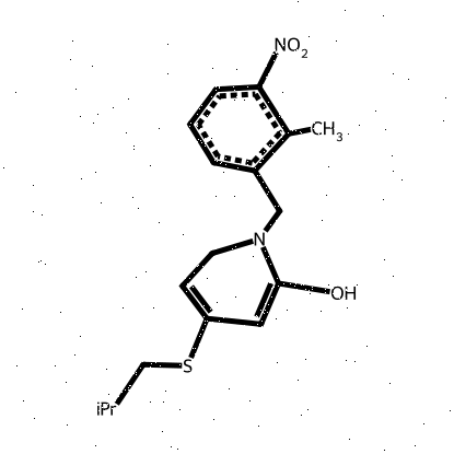 Cc1c(CN2CC=C(SCC(C)C)C=C2O)cccc1[N+](=O)[O-]